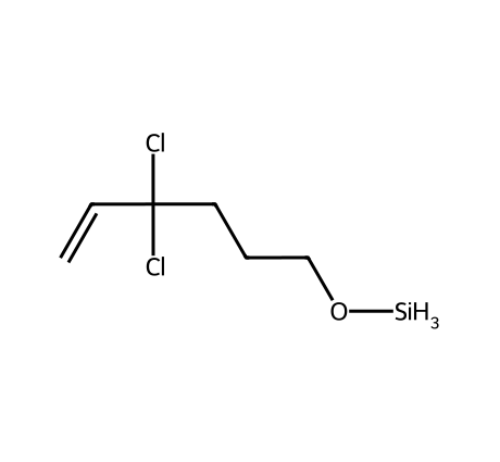 C=CC(Cl)(Cl)CCCO[SiH3]